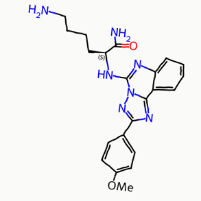 COc1ccc(-c2nc3c4ccccc4nc(N[C@@H](CCCCN)C(N)=O)n3n2)cc1